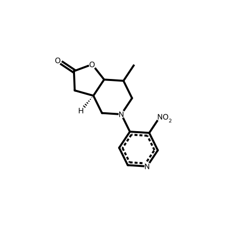 CC1CN(c2ccncc2[N+](=O)[O-])C[C@H]2CC(=O)OC12